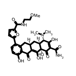 COCCNC(=O)c1ccc(-c2ccc(O)c3c2C[C@H]2C[C@H]4[C@H](N(C)C)C(O)=C(C(N)=O)C(=O)[C@@]4(O)C(O)=C2C3=O)o1